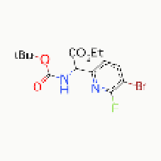 CCOC(=O)C(NC(=O)OC(C)(C)C)c1ccc(Br)c(F)n1